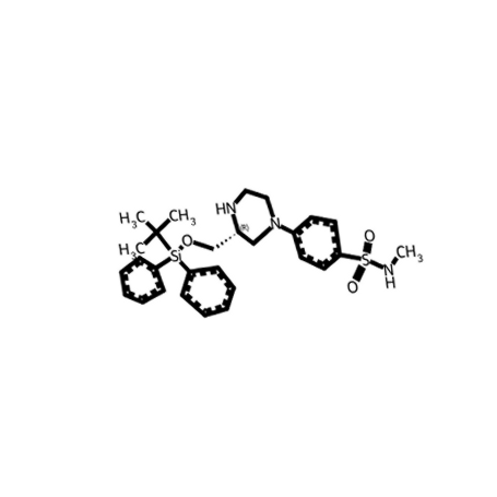 CNS(=O)(=O)c1ccc(N2CCN[C@@H](CO[Si](c3ccccc3)(c3ccccc3)C(C)(C)C)C2)cc1